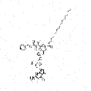 CCCCCCCCCCCCCCCCCC(=O)OCC(CC(=O)OC[C@H]1O[C@@H](n2cnc3c(=O)[nH]c(N)nc32)C[C@@H]1F)OC(=O)[C@@H](NC(=O)OCc1ccccc1)C(C)C